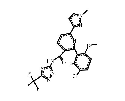 COc1ccc(Cl)c(F)c1-c1nc(-c2ccn(C)n2)ccc1C(=O)Nc1nnc(C(C)(F)F)s1